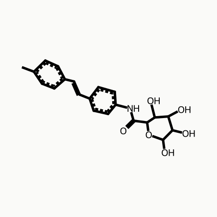 Cc1ccc(/C=C/c2ccc(NC(=O)C3OC(O)C(O)C(O)C3O)cc2)cc1